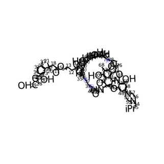 CC(=O)O[C@H]1[C@H](C)[C@H](O)[C@H](C)[C@@H](OC(=O)CCCOC(=O)CC(C)(C)c2cc(P(=O)(O)CC=O)ccc2C)[C@@H](C)/C=C/C=C(/C)C(=O)Nc2c3oc4cc(N5CCN(CC(C)C)CC5)cc(O)c4nc-3c3c4c(c(C)c(O)c3c2=O)O[C@](C)(O/C=C/[C@H](C)[C@H]1C)C4=O